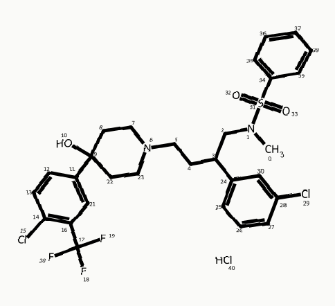 CN(CC(CCN1CCC(O)(c2ccc(Cl)c(C(F)(F)F)c2)CC1)c1cccc(Cl)c1)S(=O)(=O)c1ccccc1.Cl